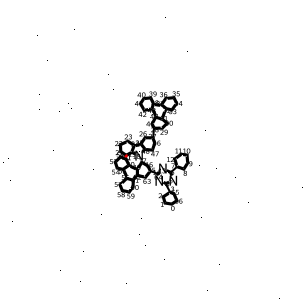 c1ccc(-c2nc(-c3ccccc3)nc(-c3cc(-n4c5ccccc5c5cc(-c6ccc7c8ccccc8c8ccccc8c7c6)ccc54)c4c5ccccc5c5ccccc5c4c3)n2)cc1